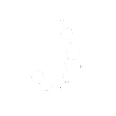 CC1CCC(CCC(CCCC(=O)C(C)CCC(C)C2CCCCC2)[C@@H](C)I)CC1